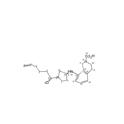 COCCCC(=O)N1CC[C@H](Nc2cccc3c2CN(C(=O)O)CC3)C1